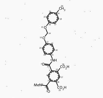 CNC(=O)c1cc(C(=O)Nc2ccc(OCOc3ccc(C)cc3)cc2)c(C(=O)O)cc1C(=O)O